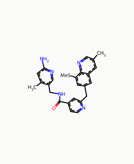 CSc1cc(Cc2cc(C(=O)NCc3cnc(N)cc3C)ccn2)cc2cc(C)cnc12